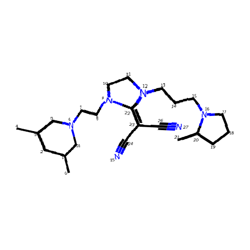 CC1CC(C)CN(CCN2CCN(CCCN3CCCC3C)C2=C(C#N)C#N)C1